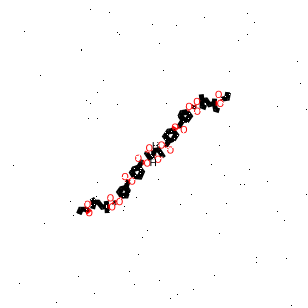 C=CC(=O)OC(C)(C)CCC(C)(C)OC(=O)Oc1ccc(C(=O)Oc2ccc(C(=O)O[C@H]3CO[C@H]4[C@@H]3OC[C@H]4OC(=O)c3ccc(OC(=O)c4ccc(OC(=O)OC(C)(CC)CCC(C)(CC)OC(=O)C=C)cc4)cc3)cc2)cc1